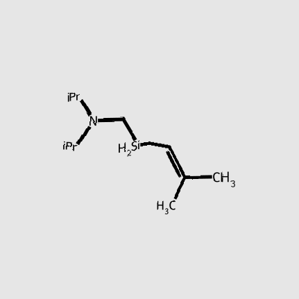 CC(C)=C[SiH2]CN(C(C)C)C(C)C